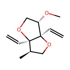 C=C[C@]12OC[C@H](OC)[C@@]1(C=C)OC[C@H]2C